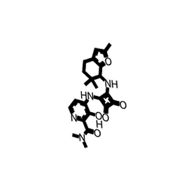 Cc1cc2c(o1)C(Nc1c(Nc3ccnc(C(=O)N(C)C)c3O)c(=O)c1=O)C(C)(C)CC2